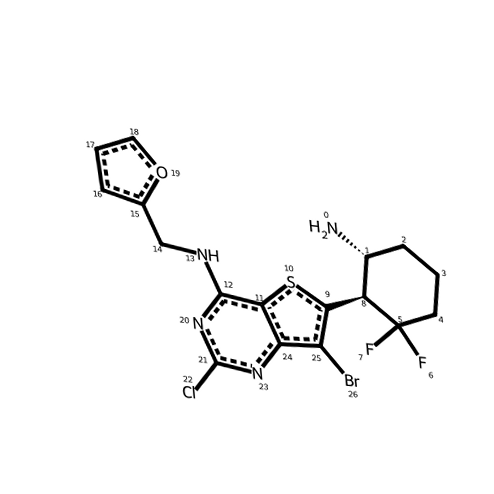 N[C@@H]1CCCC(F)(F)[C@H]1c1sc2c(NCc3ccco3)nc(Cl)nc2c1Br